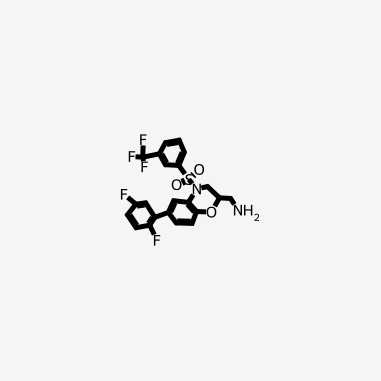 NCC1CN(S(=O)(=O)c2cccc(C(F)(F)F)c2)c2cc(-c3cc(F)ccc3F)ccc2O1